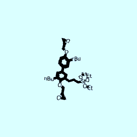 CCCCc1cc(-c2cc(CCCC)c(OCC3CO3)c(CCC[Si](OCC)(OCC)OCC)c2)ccc1OCC1CO1